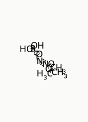 CC(C)(C)OC(=O)N1CCN(Cc2cc(B(O)O)co2)CC1